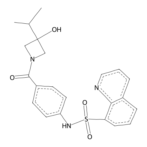 CC(C)C1(O)CN(C(=O)c2ccc(NS(=O)(=O)c3cccc4cccnc34)cc2)C1